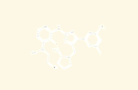 CCCN(CCC(C)C)c1ccnc(Nc2nc(-c3cc(F)cc(C(F)(F)F)c3)c(CN3CCCC3C)s2)c1F